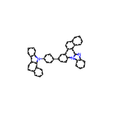 c1ccc2c(c1)ccc1c3cc(-c4ccc(-n5c6ccccc6c6ccc7ccccc7c65)cc4)ccc3n3c4ccccc4nc3c21